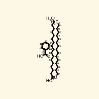 CCCCCCCCCCCCCCCCCCO.CCCCCCCCCCCCCCCCO.O=C(O)c1ccccc1